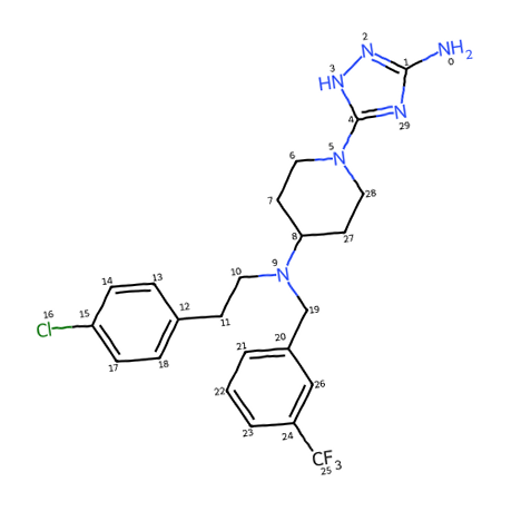 Nc1n[nH]c(N2CCC(N(CCc3ccc(Cl)cc3)Cc3cccc(C(F)(F)F)c3)CC2)n1